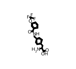 NC(Cc1ccc(CNC(=O)c2cccc(OC(F)(F)F)c2)cc1)C(=O)O